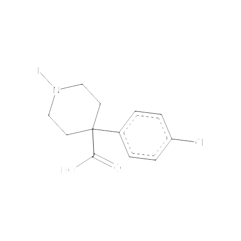 O=C(O)C1(c2ccc(Cl)cc2)CCN(I)CC1